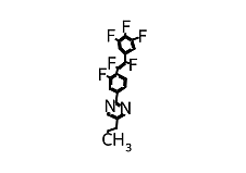 CCCc1cnc(-c2ccc(/C(F)=C(\F)c3cc(F)c(F)c(F)c3)c(F)c2)nc1